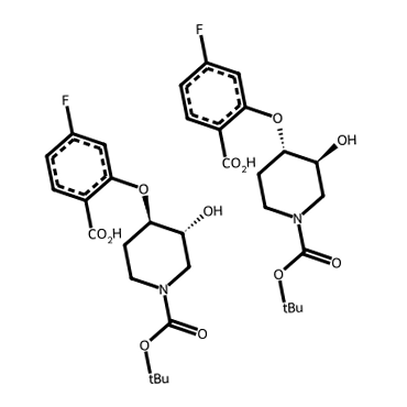 CC(C)(C)OC(=O)N1CC[C@@H](Oc2cc(F)ccc2C(=O)O)[C@H](O)C1.CC(C)(C)OC(=O)N1CC[C@H](Oc2cc(F)ccc2C(=O)O)[C@@H](O)C1